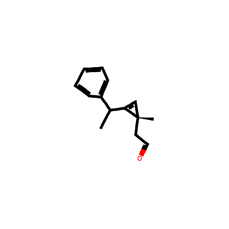 CC(C1=C[C@]1(C)CC=O)c1ccccc1